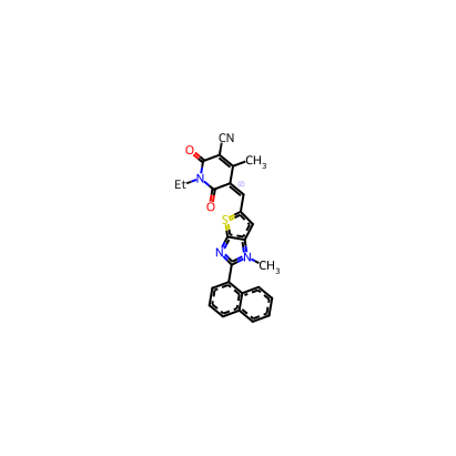 CCN1C(=O)C(C#N)=C(C)/C(=C/c2cc3c(nc(-c4cccc5ccccc45)n3C)s2)C1=O